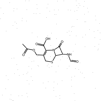 CC(=O)OCC1=C(C(=O)O)N2C(=O)C(NC=O)C2SC1